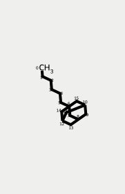 CCCC[CH]CC12CC3CC(CC(C3)C1)C2